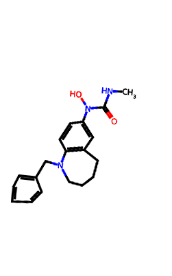 CNC(=O)N(O)c1ccc2c(c1)CCCCN2Cc1ccccc1